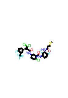 CSCCC(=O)Nc1c(F)ccc(NC(=O)c2cc(NC(=O)C3[C@H](c4ccc(F)c(C(F)(F)F)c4)C3(Cl)Cl)ccc2Cl)c1F